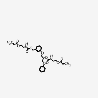 C=CC(=O)OCCNC(=O)OCc1cccc(OCC(COc2ccccc2)OC(=O)NCCOC(=O)C=C)c1